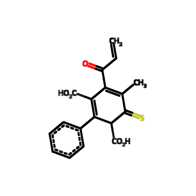 C=CC(=O)C1=C(C)C(=S)C(C(=O)O)C(c2ccccc2)=C1C(=O)O